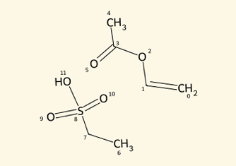 C=COC(C)=O.CCS(=O)(=O)O